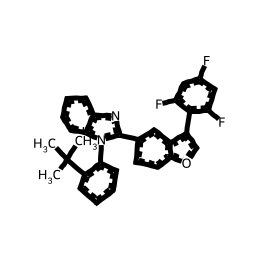 CC(C)(C)c1ccccc1-n1c(-c2ccc3occ(-c4c(F)cc(F)cc4F)c3c2)nc2ccccc21